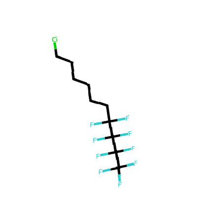 FC(F)(F)C(F)(F)C(F)(F)C(F)(F)CCCCCCCl